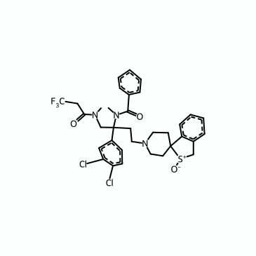 CN(CC(CCN1CCC2(CC1)c1ccccc1C[S+]2[O-])(c1ccc(Cl)c(Cl)c1)N(C)C(=O)c1ccccc1)C(=O)CC(F)(F)F